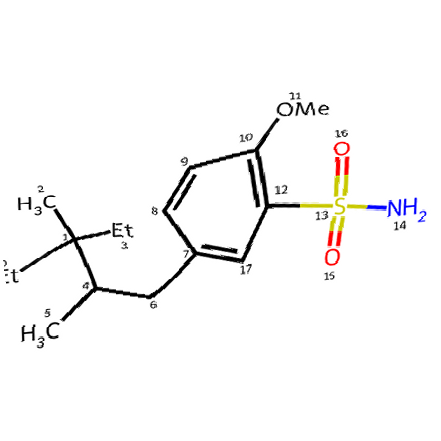 CCC(C)(CC)C(C)Cc1ccc(OC)c(S(N)(=O)=O)c1